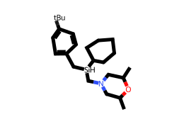 CC1CN(C[SiH](Cc2ccc(C(C)(C)C)cc2)C2CCCCC2)CC(C)O1